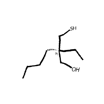 CCCC[C@](CC)(CO)CS